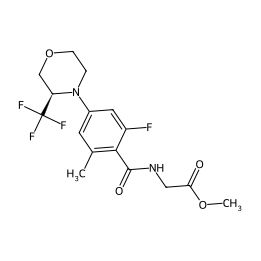 COC(=O)CNC(=O)c1c(C)cc(N2CCOC[C@@H]2C(F)(F)F)cc1F